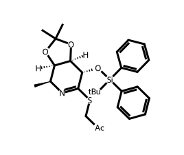 CC(=O)CSC1=N[C@@H](C)[C@H]2OC(C)(C)O[C@H]2[C@@H]1O[Si](c1ccccc1)(c1ccccc1)C(C)(C)C